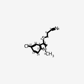 Cn1cc(SCCC#N)c2cc(Cl)ccc21